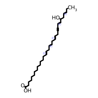 CC/C=C/CC(O)/C=C/C#CC/C=C/C/C=C/C/C=C/CCCCCCCCCCCCC(=O)O